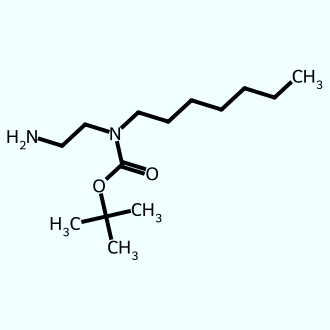 CCCCCCCN(CCN)C(=O)OC(C)(C)C